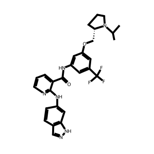 CC(C)N1CCC[C@H]1COc1cc(NC(=O)c2cccnc2Nc2ccc3cn[nH]c3c2)cc(C(F)(F)F)c1